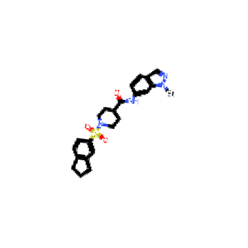 CCn1ncc2ccc(NC(=O)C3CCN(S(=O)(=O)c4ccc5c(c4)CCC5)CC3)cc21